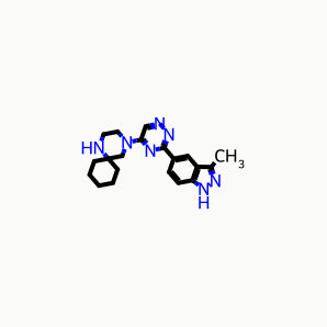 Cc1n[nH]c2ccc(-c3nncc(N4CCNC5(CCCCC5)C4)n3)cc12